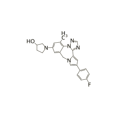 Cc1cc(N2CCC(O)C2)cc2c1-n1ncnc1-c1cc(-c3ccc(F)cc3)cn1C2